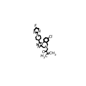 CN(C)C(=O)CN1Cc2cc(Cl)ccc2-n2c(nnc2C2CCN(c3ncc(F)cn3)CC2)C1